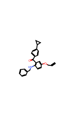 C#CCOc1ccc(NCc2ccccc2)c(C(=O)c2ccc(C3CC3)cc2)c1